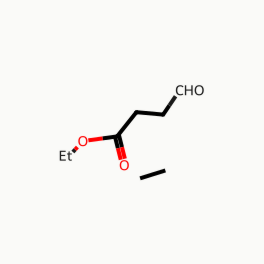 CC.CCOC(=O)CCC=O